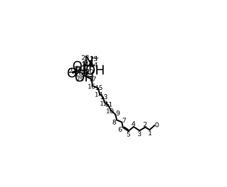 CCCCC/C=C\CCCCCCCCCCCCC(O)(C[N+](C)(C)C)P(=O)(O)O